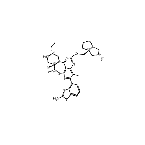 CC[C@@H]1CN2c3nc(OC[C@@]45CCCN4C[C@H](F)C5)nc4c(F)c(-c5cccc6sc(N)nc56)nc(c34)O[C@@H](C)[C@@H]2CN1